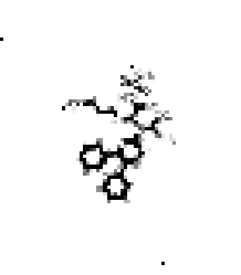 CCCCOC(C(=O)NS(C)(=O)=O)N(c1cnc(-c2ccccc2)c(-c2ccccc2)n1)C(C)C